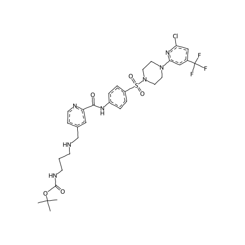 CC(C)(C)OC(=O)NCCCNCc1ccnc(C(=O)Nc2ccc(S(=O)(=O)N3CCN(c4cc(C(F)(F)F)cc(Cl)n4)CC3)cc2)c1